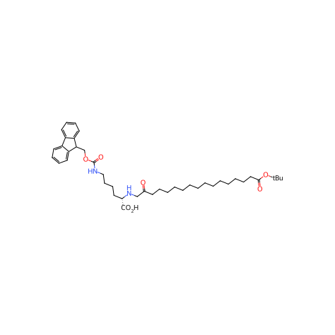 CC(C)(C)OC(=O)CCCCCCCCCCCCCCC(=O)CN[C@@H](CCCCNC(=O)OCC1c2ccccc2-c2ccccc21)C(=O)O